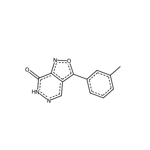 Cc1cccc(-c2onc3c(=O)[nH]ncc23)c1